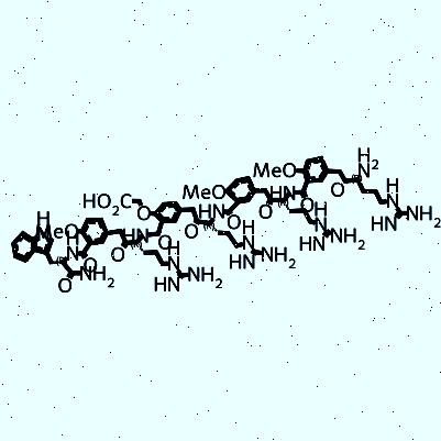 COc1ccc(CC(=O)[C@@H](CCCNC(=N)N)NC(=O)c2cc(CC(=O)[C@@H](CCCNC(=N)N)NC(=O)c3cc(CC(=O)[C@@H](CCCNC(=N)N)NC(=O)c4cc(CC(=O)[C@H](N)CCCNC(=N)N)ccc4OC)ccc3OC)ccc2OCC(=O)O)cc1C(=O)N[C@H](Cc1c[nH]c2ccccc12)C(N)=O